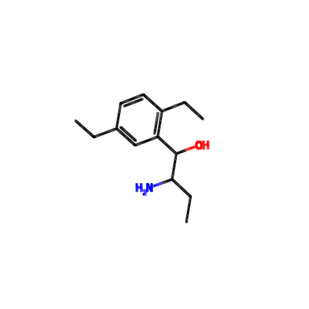 CCc1ccc(CC)c(C(O)C(N)CC)c1